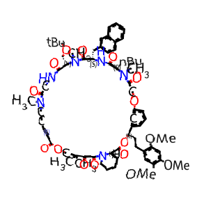 CCCC[C@H]1C(=O)N[C@@H](Cc2ccc3ccccc3c2)C(=O)N(C)[C@@H](COC(C)(C)C)C(=O)NCC(=O)N(C)CC/C=C/C(=O)OCC(C)(C)C(=O)C(=O)N2CCCC[C@H]2C(=O)O[C@H](CCc2cc(OC)c(OC)cc2OC)c2cccc(c2)OCC(=O)N1C